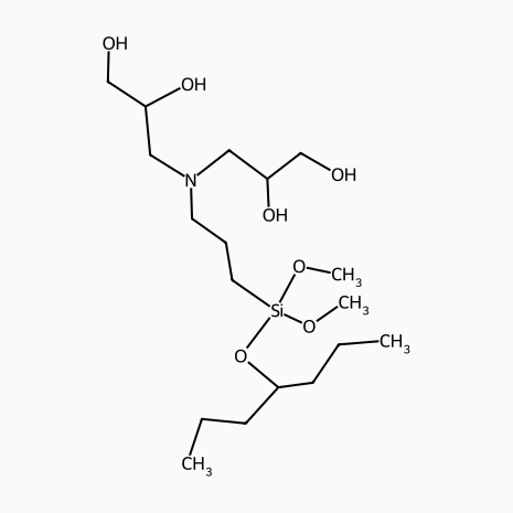 CCCC(CCC)O[Si](CCCN(CC(O)CO)CC(O)CO)(OC)OC